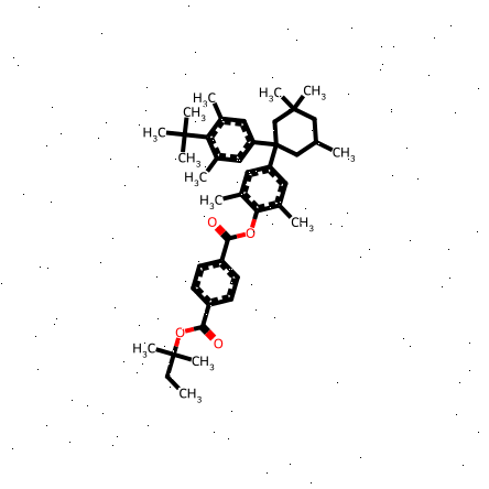 CCC(C)(C)OC(=O)c1ccc(C(=O)Oc2c(C)cc(C3(c4cc(C)c(C(C)(C)C)c(C)c4)CC(C)CC(C)(C)C3)cc2C)cc1